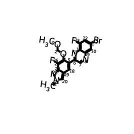 COCOc1c(-c2cnc3cc(Br)cc(F)c3n2)cc2cn(C)nc2c1F